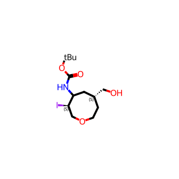 CC(C)(C)OC(=O)NC1C[C@H](CO)CCOC[C@H]1I